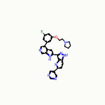 Fc1cc(OCCN2CCCC2)cc(-c2cncc3[nH]c(-c4n[nH]c5ccc(-c6cncnc6)nc45)cc23)c1